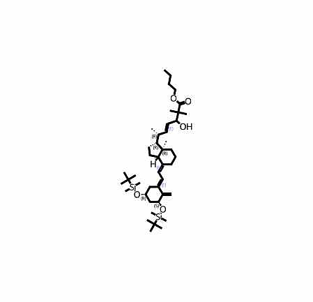 C=C1/C(=C/C=C2\CCC[C@]3(C)[C@@H]([C@H](C)/C=C/C(O)C(C)(C)C(=O)OCCCC)CC[C@@H]23)C[C@@H](O[Si](C)(C)C(C)(C)C)C[C@@H]1O[Si](C)(C)C(C)(C)C